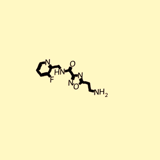 NCCc1nc(C(=O)NCc2ncccc2F)no1